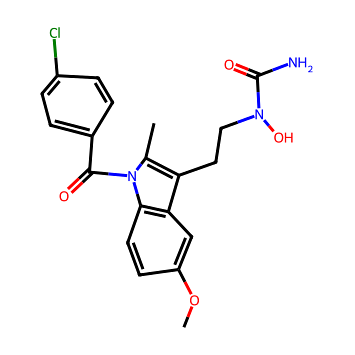 COc1ccc2c(c1)c(CCN(O)C(N)=O)c(C)n2C(=O)c1ccc(Cl)cc1